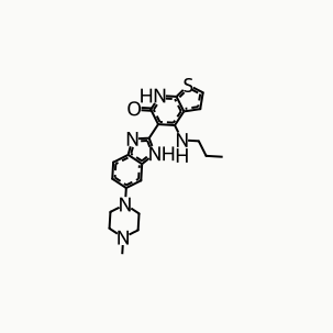 CCCNc1c(-c2nc3ccc(N4CCN(C)CC4)cc3[nH]2)c(=O)[nH]c2sccc12